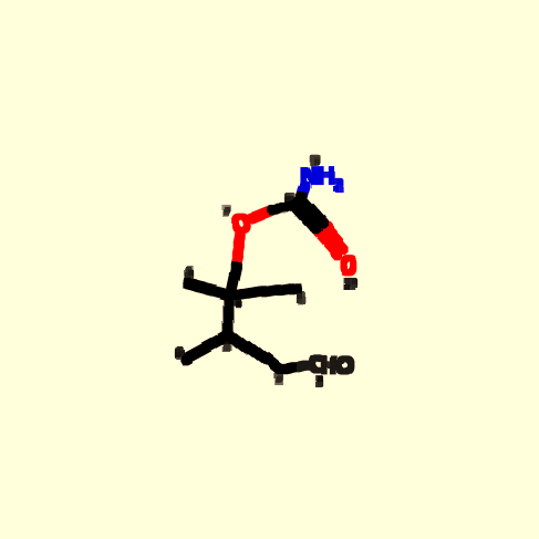 CC(CC=O)C(C)(C)OC(N)=O